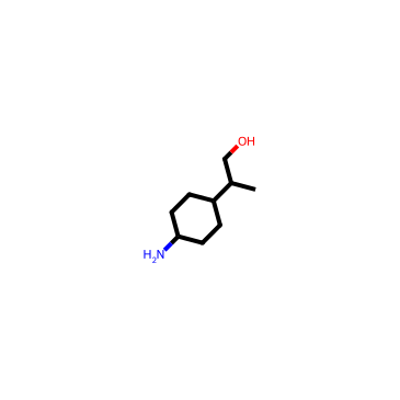 CC(CO)C1CCC(N)CC1